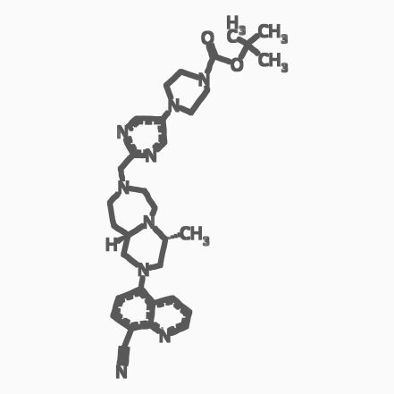 C[C@@H]1CN(c2ccc(C#N)c3ncccc23)C[C@@H]2CCN(Cc3ncc(N4CCN(C(=O)OC(C)(C)C)CC4)cn3)CCN21